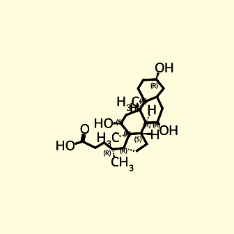 C[C@H](CCC(=O)O)[C@H]1CC[C@H]2[C@@H]3[C@H](O)CC4C[C@H](O)CC[C@]4(C)[C@H]3C[C@H](O)[C@]12C